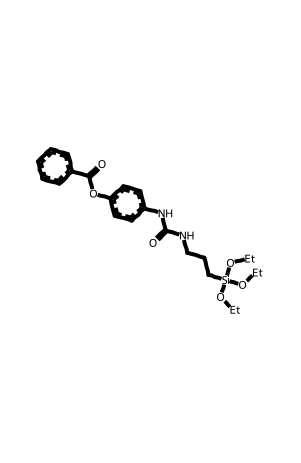 CCO[Si](CCCNC(=O)Nc1ccc(OC(=O)c2ccccc2)cc1)(OCC)OCC